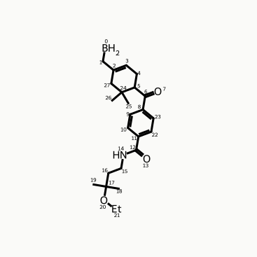 BCC1=CCC(C(=O)c2ccc(C(=O)NCCC(C)(C)OCC)cc2)C(C)(C)C1